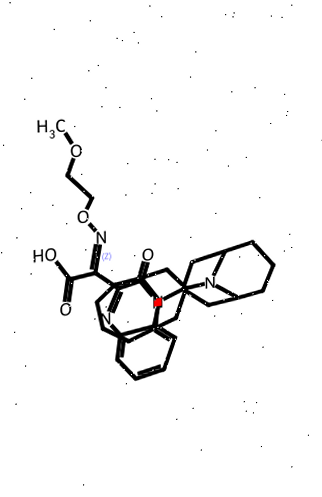 COCCO/N=C(\C(=O)O)c1nc2ccccc2n(C2CC3CCCC(C2)N3C2CC3CCCCC(C3)C2)c1=O